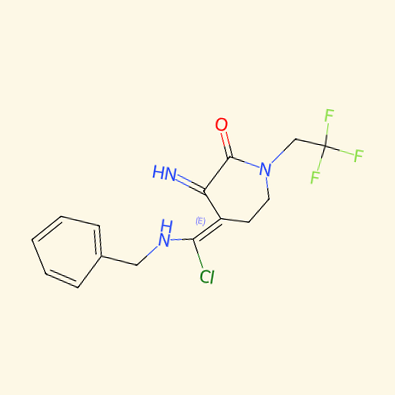 N=C1C(=O)N(CC(F)(F)F)CC/C1=C(\Cl)NCc1ccccc1